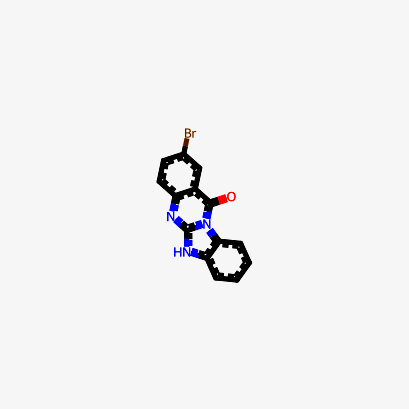 O=c1c2cc(Br)ccc2nc2[nH]c3ccccc3n12